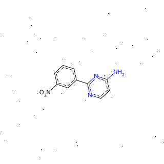 Nc1ccnc(-c2cccc([N+](=O)[O-])c2)n1